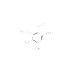 CCCCc1cc(O)c(O)c(C(=O)O)c1OCC